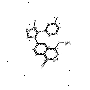 Cc1cccc(-c2c(-c3ccc4c(=O)[nH]nc(CN)c4c3)cnn2C)c1